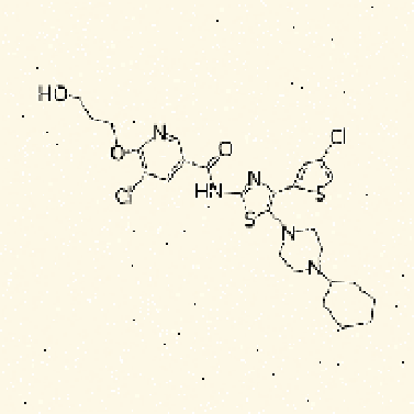 O=C(Nc1nc(-c2cc(Cl)cs2)c(N2CCN(C3CCCCC3)CC2)s1)c1cnc(OCCCO)c(Cl)c1